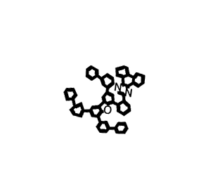 c1ccc(-c2cccc(-c3cc(-c4cccc(-c5ccccc5)c4)c4oc5c(-c6ccccc6-c6cnc7c8ccccc8c8ccccc8c7n6)cc(-c6cccc(-c7ccccc7)c6)cc5c4c3)c2)cc1